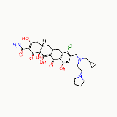 NC(=O)C1=C(O)C[C@@H]2CC3Cc4c(Cl)c(CN(CCN5CCCC5)CC5CC5)cc(O)c4C(=O)C3=C(O)[C@]2(O)C1=O